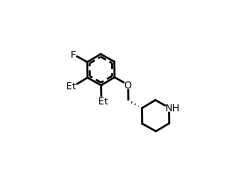 CCc1c(F)ccc(OC[C@H]2CCCNC2)c1CC